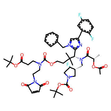 CC(=O)O[C@@H](C)C(=O)N(C[C@@H]1CN(C(=O)OC(C)(C)C)C[C@@H]1F)[C@@H](c1nc(-c2cc(F)ccc2F)cn1Cc1ccccc1)C(C)(C)CCOC(=O)N(CCC(=O)OC(C)(C)C)CCN1C(=O)C=CC1=O